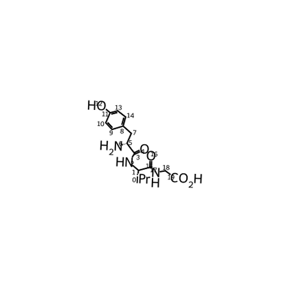 CC(C)C(NC(=O)[C@H](N)Cc1ccc(O)cc1)C(=O)NCC(=O)O